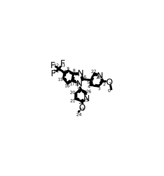 COc1ccc(-c2nc3cc(C(F)(F)F)ccc3n2-c2ccc(OC)nc2)cn1